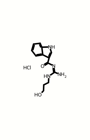 Cl.NC(=NC(=O)c1c[nH]c2ccccc12)NCCCO